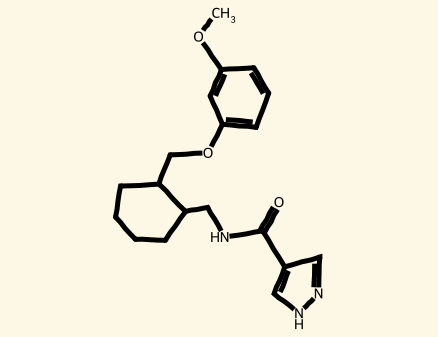 COc1cccc(OCC2CCCCC2CNC(=O)c2cn[nH]c2)c1